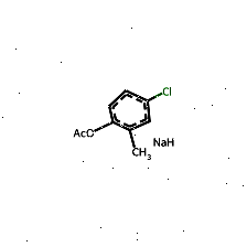 CC(=O)Oc1ccc(Cl)cc1C.[NaH]